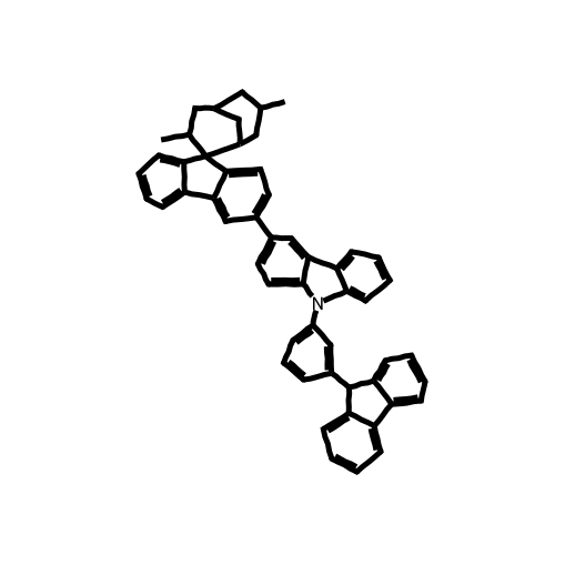 CC1CC2CC(C)C3(c4ccccc4-c4cc(-c5ccc6c(c5)c5ccccc5n6-c5cccc(C6c7ccccc7-c7ccccc76)c5)ccc43)C(C1)C2